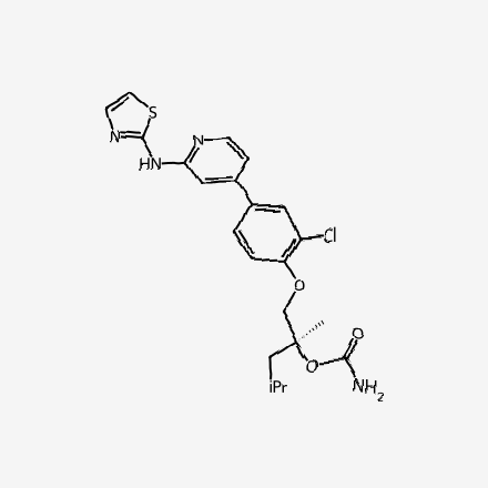 CC(C)C[C@@](C)(COc1ccc(-c2ccnc(Nc3nccs3)c2)cc1Cl)OC(N)=O